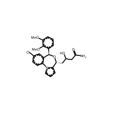 COc1cccc([C@H]2O[C@H](CC(O)CC(N)=O)c3cccn3-c3ccc(Cl)cc32)c1OC